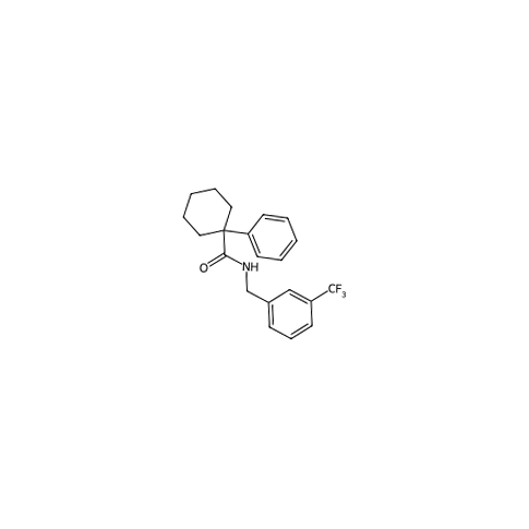 O=C(NCc1cccc(C(F)(F)F)c1)C1(c2ccccc2)CCCCC1